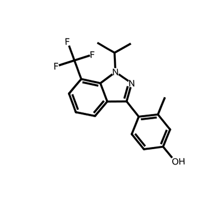 Cc1cc(O)ccc1-c1nn(C(C)C)c2c(C(F)(F)F)cccc12